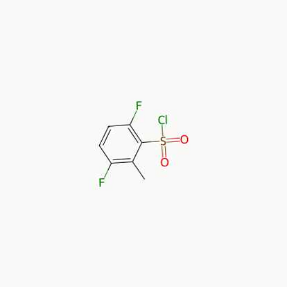 Cc1c(F)ccc(F)c1S(=O)(=O)Cl